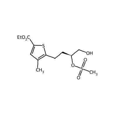 CCOC(=O)c1cc(C)c(CC[C@@H](CO)OS(C)(=O)=O)s1